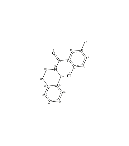 Cc1ccc(Cl)c(C(=O)N2CCc3ccccc3C2)c1